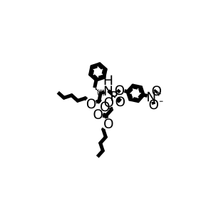 CCCCCOC(=O)COP(=O)(N[C@@H](Cc1ccccc1)C(=O)OCCCCC)Oc1ccc([N+](=O)[O-])cc1